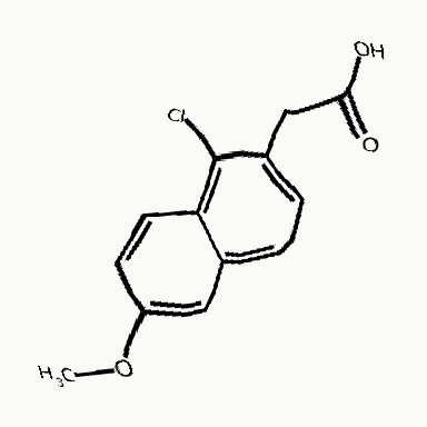 COc1ccc2c(Cl)c(CC(=O)O)ccc2c1